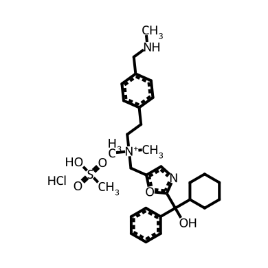 CNCc1ccc(CC[N+](C)(C)Cc2cnc(C(O)(c3ccccc3)C3CCCCC3)o2)cc1.CS(=O)(=O)O.Cl